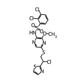 COc1nc(SCC(Cl)c2nccs2)cnc1NS(=O)(=O)c1cccc(Cl)c1Cl